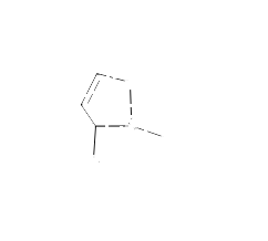 CN1SC=CC1O